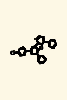 Clc1ccc(-c2cc(-c3ccccc3)c3oc4c(-c5ccccc5)cc[c]c4c3c2)cc1